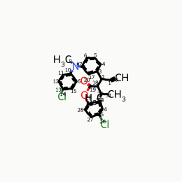 C#CC(c1cccc(N(C)c2ccc(Cl)cc2)c1)C(C(=O)Oc1ccc(Cl)cc1)C(C)C